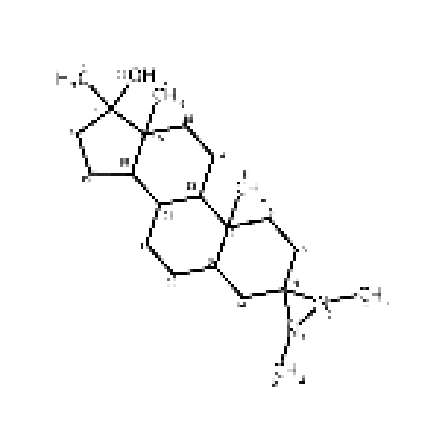 CN1N(C)C12CCC1(C)C(CCC3C1CCC1(C)C3CCC1(C)O)C2